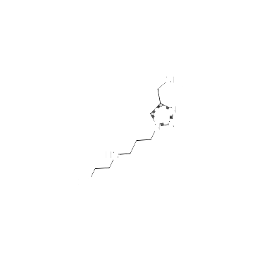 NCc1cn(CCCNCCO)nn1